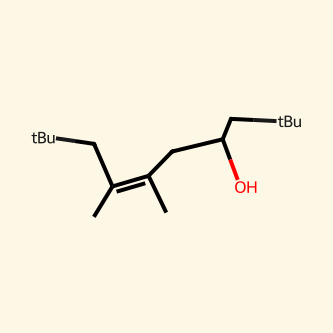 C/C(CC(O)CC(C)(C)C)=C(\C)CC(C)(C)C